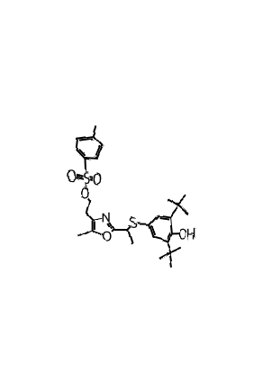 Cc1ccc(S(=O)(=O)OCCc2nc(C(C)Sc3cc(C(C)(C)C)c(O)c(C(C)(C)C)c3)oc2C)cc1